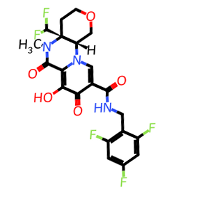 CN1C(=O)c2c(O)c(=O)c(C(=O)NCc3c(F)cc(F)cc3F)cn2[C@H]2COCC[C@]21C(F)F